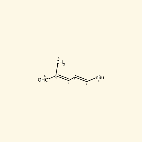 CCCCC=CC=C(C)C=O